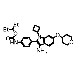 CCC(CC)OC(=O)Nc1ccc(-c2c(N)c3ccc(OC4CCOCC4)cc3n2C2CCC2)cc1